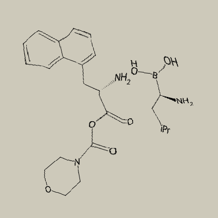 CC(C)C[C@H](N)B(O)O.N[C@@H](Cc1cccc2ccccc12)C(=O)OC(=O)N1CCOCC1